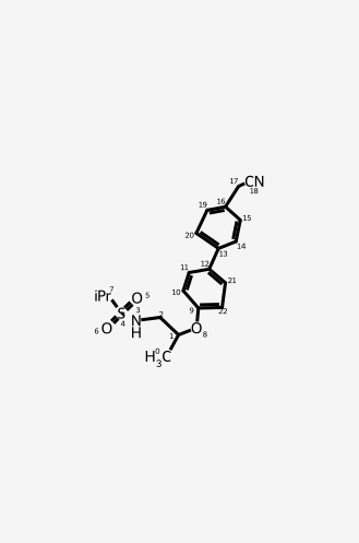 CC(CNS(=O)(=O)C(C)C)Oc1ccc(-c2ccc(CC#N)cc2)cc1